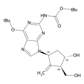 C=C1[C@H](CO)[C@@H](O)C[C@@H]1n1cnc2c(OC(C)(C)C)nc(NC(=O)OC(C)(C)C)nc21